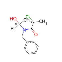 CC[C@@](C)(O)N(Cc1ccccc1)C(=O)C(C)Cl